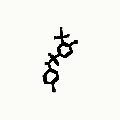 O=S(=O)(Nc1[c]cc(Cl)cc1)c1ccc(Cl)c(C(F)(F)F)c1